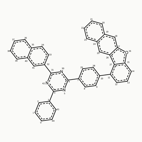 c1ccc(-c2nc(-c3ccc(-c4cccc5oc6cc7ccccc7cc6c45)cc3)nc(-c3ccc4ccccc4c3)n2)cc1